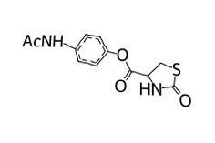 CC(=O)Nc1ccc(OC(=O)C2CSC(=O)N2)cc1